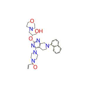 C=CC(=O)N1CCN(c2nc(OC(CO)CN3CCOCC3)nc3c2CCN(c2cccc4ccccc24)C3)CC1